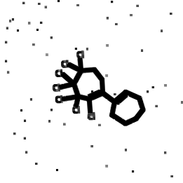 ClC1=C(C2=CCCCCC2)CCC(Cl)(Cl)C(Cl)(Cl)C1(Cl)Cl